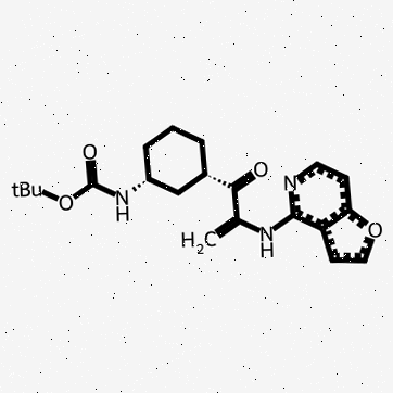 C=C(Nc1nccc2occc12)C(=O)[C@H]1CCC[C@@H](NC(=O)OC(C)(C)C)C1